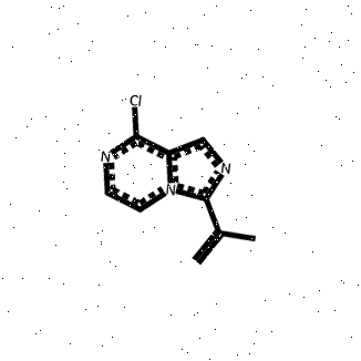 C=C(C)c1ncc2c(Cl)nccn12